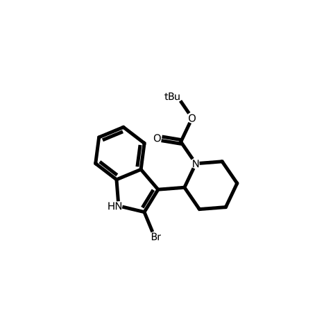 CC(C)(C)OC(=O)N1CCCCC1c1c(Br)[nH]c2ccccc12